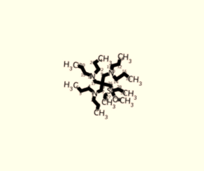 CCCN(CCC)CC(CN(CCC)CCC)(CN(CCC)CCC)C[Si](CC)(CC)OC